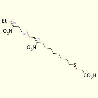 CC/C=C(/C/C=C/C/C=C(/CCCCCCCCSCCC(=O)O)[N+](=O)[O-])[N+](=O)[O-]